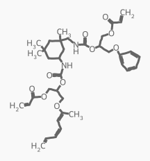 C=C/C=C\C=C(/C)OCC(COC(=O)C=C)OC(=O)NC1CC(C)(C)CC(C)(CNC(=O)OC(COC(=O)C=C)COc2ccccc2)C1